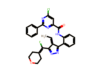 C/C=C1\C(C(F)=C2CCOCC2)=NN=C1c1ccccc1NC(=O)c1cc(Cl)nc(-c2ccccc2)n1